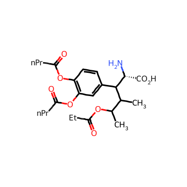 CCCC(=O)Oc1ccc(C(C(C)C(C)OC(=O)CC)[C@H](N)C(=O)O)cc1OC(=O)CCC